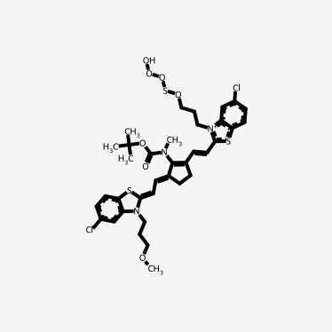 COCCCN1/C(=C/C=C2\CCC(/C=C/c3sc4ccc(Cl)cc4[n+]3CCCOSOOO)=C2N(C)C(=O)OC(C)(C)C)Sc2ccc(Cl)cc21